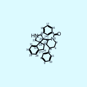 O=CN1CC[C@@H](c2ccccc2)C[C@@]1(c1ccccc1)[C@@H]1CNC[C@]12CCc1ccccc12